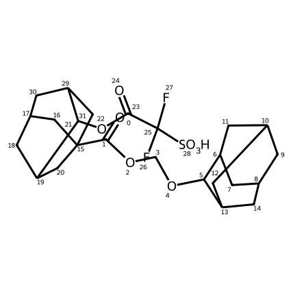 O=C(OCOC1C2CC3CC(C2)CC1C3)C12CC3CC(C1)C(OC(=O)C(F)(F)S(=O)(=O)O)C(C3)C2